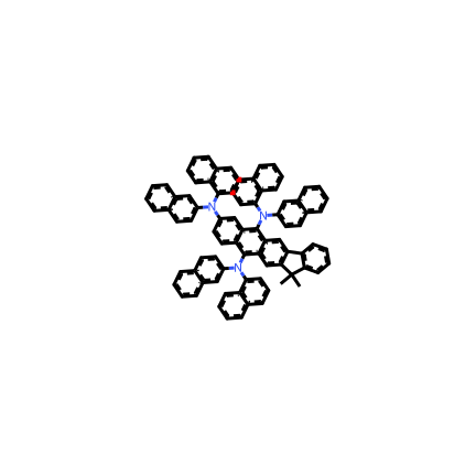 CC1(C)c2ccccc2-c2cc3c(N(c4ccc5ccccc5c4)c4cccc5ccccc45)c4cc(N(c5ccc6ccccc6c5)c5cccc6ccccc56)ccc4c(N(c4ccc5ccccc5c4)c4cccc5ccccc45)c3cc21